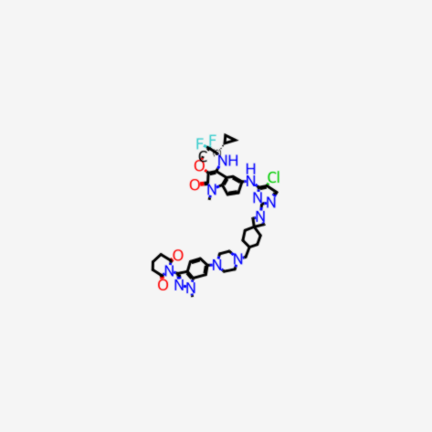 Cn1nc(N2C(=O)CCCC2=O)c2ccc(N3CCN(CC4CCC5(CC4)CN(c4ncc(Cl)c(Nc6ccc7c(c6)c6c(c(=O)n7C)OCC(F)(F)[C@H](C7CC7)N6)n4)C5)CC3)cc21